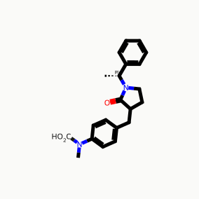 C[C@H](c1ccccc1)N1CCC(Cc2ccc(N(C)C(=O)O)cc2)C1=O